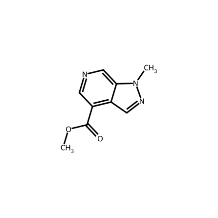 COC(=O)c1cncc2c1cnn2C